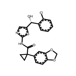 O=C(Nc1ncc([C@H](O)c2ccccc2Cl)s1)C1(c2ccc3c(c2)OCO3)CC1